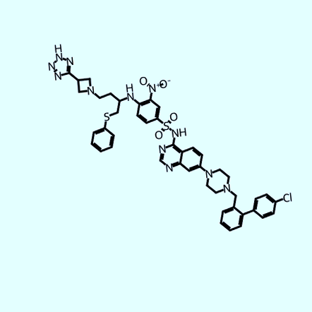 O=[N+]([O-])c1cc(S(=O)(=O)Nc2ncnc3cc(N4CCN(Cc5ccccc5-c5ccc(Cl)cc5)CC4)ccc23)ccc1NC(CCN1CC(c2nn[nH]n2)C1)CSc1ccccc1